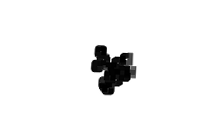 COc1ccc(CN2C(=O)C(O)(c3cc(C4OCCO4)ccc3OC)c3cc(Cl)ccc32)c(OC)c1